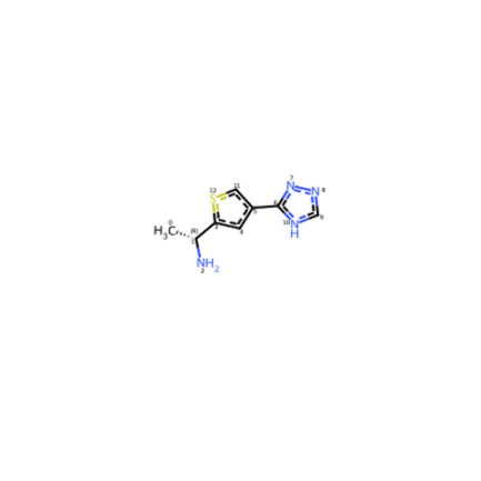 C[C@@H](N)c1cc(-c2nnc[nH]2)cs1